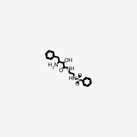 NC(Cc1ccccc1)C(O)C(=O)NCCNS(=O)(=O)c1ccccc1